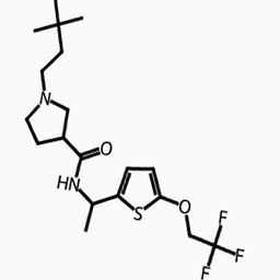 CC(NC(=O)C1CCN(CCC(C)(C)C)C1)c1ccc(OCC(F)(F)F)s1